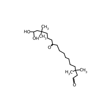 CC(C)(CC=O)CCCCCCCC(=O)CCCC(C)(C)CC(O)O